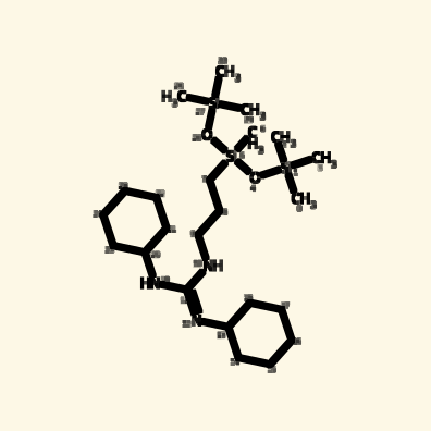 C[Si](C)(C)O[Si](C)(CCCN/C(=N\C1CCCCC1)NC1CCCCC1)O[Si](C)(C)C